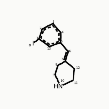 Ic1cccc(C=C2CCNCC2)c1